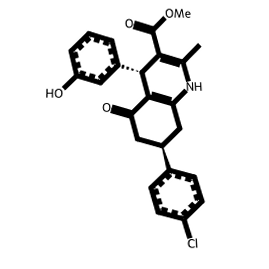 COC(=O)C1=C(C)NC2=C(C(=O)C[C@H](c3ccc(Cl)cc3)C2)[C@@H]1c1cccc(O)c1